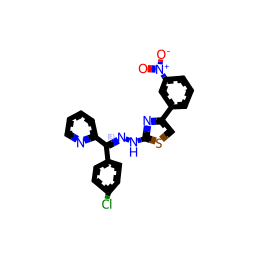 O=[N+]([O-])c1cccc(-c2csc(N/N=C(\c3ccc(Cl)cc3)c3ccccn3)n2)c1